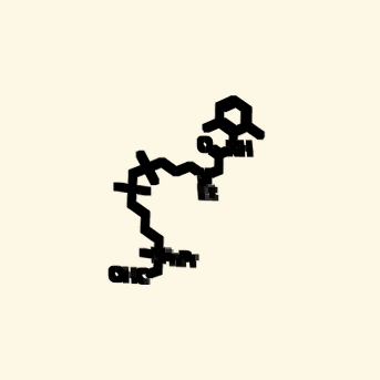 CCC[N+](C)(CC=O)CCCCC(C)(C)CC(C)(C)CCCN(CC)CC(=O)Nc1c(C)cccc1C